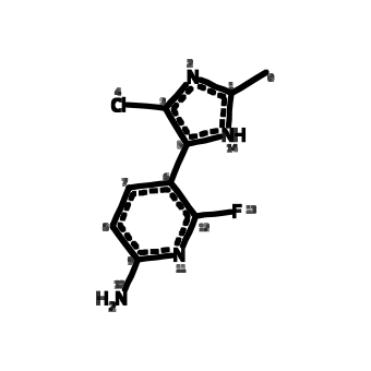 Cc1nc(Cl)c(-c2ccc(N)nc2F)[nH]1